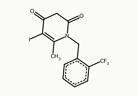 CC1=C(I)C(=O)CC(=O)N1Cc1ccccc1C(F)(F)F